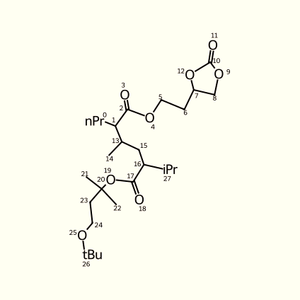 CCCC(C(=O)OCCC1COC(=O)O1)C(C)CC(C(=O)OC(C)(C)CCOC(C)(C)C)C(C)C